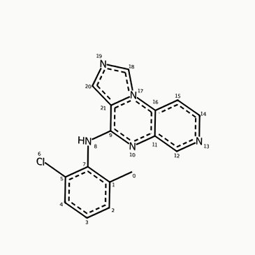 Cc1cccc(Cl)c1Nc1nc2cnccc2n2cncc12